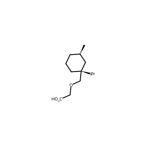 CC(C)[C@@]1(COCC(=O)O)CCC[C@@H](C)C1